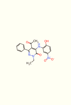 CCn1nc(-c2ccccc2)c(C(C)=O)c(Nc2cc([N+](=O)[O-])ccc2O)c1=O